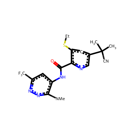 CCSc1cc(C(C)(C)C#N)cnc1C(=O)Nc1cc(C(F)(F)F)nnc1NC